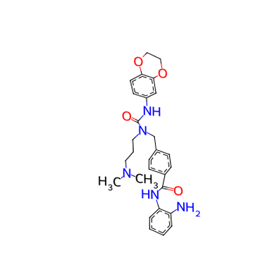 CN(C)CCCN(Cc1ccc(C(=O)Nc2ccccc2N)cc1)C(=O)Nc1ccc2c(c1)OCCO2